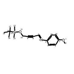 COc1ccc(N=CC#CCO[Si](C)(C)C(C)(C)C)cc1